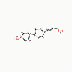 OCC#Cc1ccc(-c2ccc(O)cc2)cc1